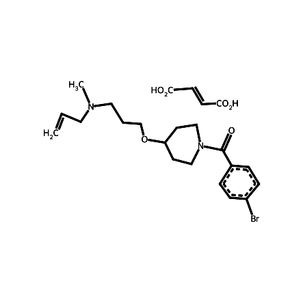 C=CCN(C)CCCOC1CCN(C(=O)c2ccc(Br)cc2)CC1.O=C(O)C=CC(=O)O